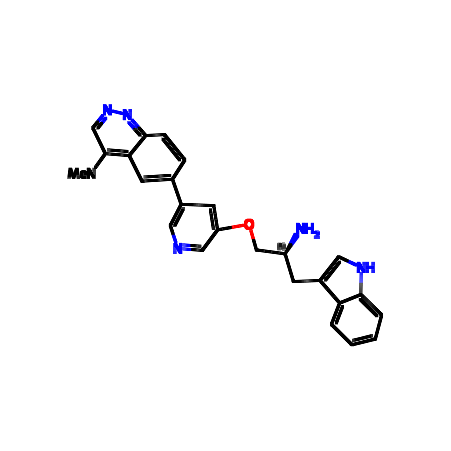 CNc1cnnc2ccc(-c3cncc(OC[C@@H](N)Cc4c[nH]c5ccccc45)c3)cc12